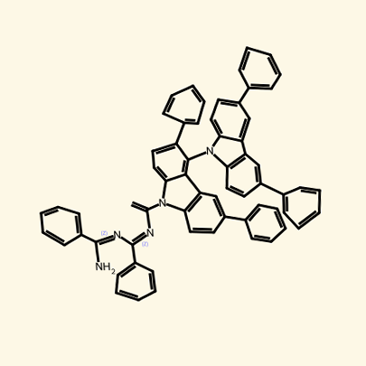 C=C(/N=C(\N=C(/N)c1ccccc1)c1ccccc1)n1c2ccc(-c3ccccc3)cc2c2c(-n3c4ccc(-c5ccccc5)cc4c4cc(-c5ccccc5)ccc43)c(-c3ccccc3)ccc21